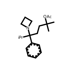 CC(=O)OC(C)(C)CCC(c1ccccc1)(C(C)C)N1CCC1